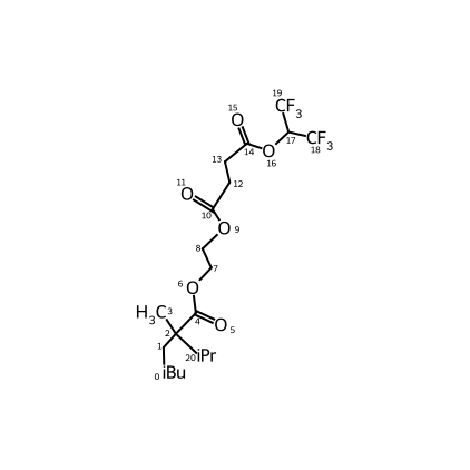 CCC(C)CC(C)(C(=O)OCCOC(=O)CCC(=O)OC(C(F)(F)F)C(F)(F)F)C(C)C